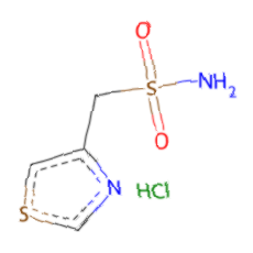 Cl.NS(=O)(=O)Cc1cscn1